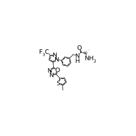 Cc1ccc(-c2nnc(-c3cc(C(F)(F)F)nn3-c3cccc(CNC(=O)[C@H](C)N)c3)o2)s1